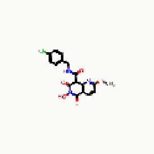 COc1ccc2c(n1)C(C(=O)NCc1ccc(Cl)cc1)C(=O)N(O)C2=O